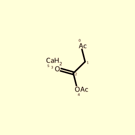 CC(=O)CC(=O)OC(C)=O.[CaH2]